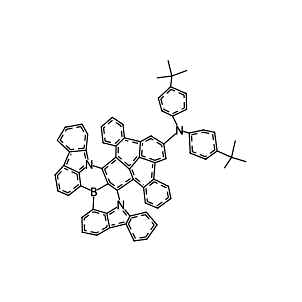 CC(C)(C)c1ccc(N(c2ccc(C(C)(C)C)cc2)c2cc3c4ccccc4c4c5c6c(c7c8ccccc8c(c2)c3c47)-n2c3ccccc3c3cccc(c32)B6c2cccc3c4ccccc4n-5c23)cc1